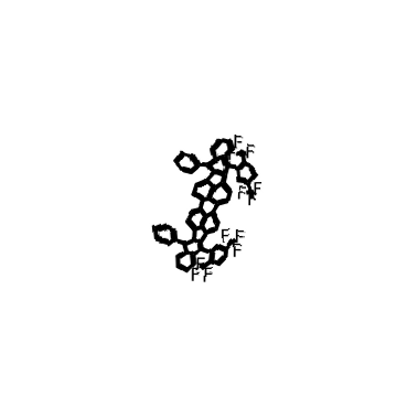 FC(F)(F)c1ccc(C(F)(F)F)c(-c2c3c(c(-c4ccccc4)c4ccccc24)-c2ccc4c5ccc6c7c(ccc(c8ccc-3c2c48)c75)-c2c-6c(-c3ccccc3)c3ccccc3c2-c2cc(C(F)(F)F)ccc2C(F)(F)F)c1